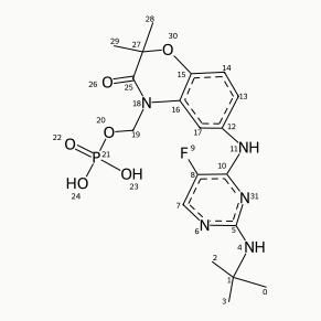 CC(C)(C)Nc1ncc(F)c(Nc2ccc3c(c2)N(COP(=O)(O)O)C(=O)C(C)(C)O3)n1